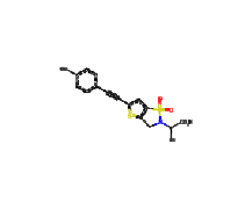 CCC(C(=O)O)N1Cc2sc(C#Cc3ccc(C(C)(C)C)cc3)cc2S1(=O)=O